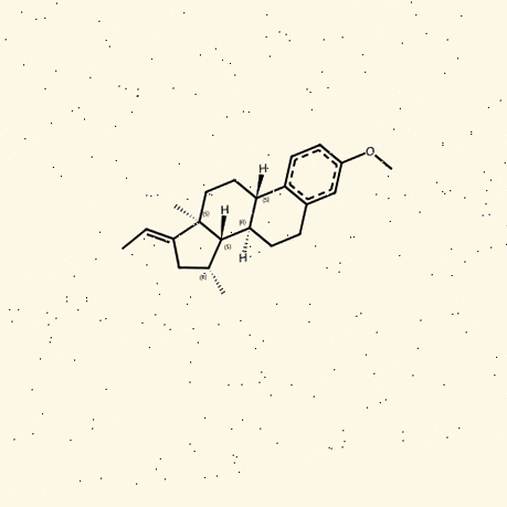 CC=C1C[C@@H](C)[C@H]2[C@@H]3CCc4cc(OC)ccc4[C@H]3CC[C@]12C